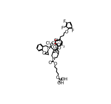 CC(C)(OC(=O)N1C2CC(c3ccc(CCCOc4c(F)ccc(F)c4F)cc3)=C(C(=O)N(Cc3ccccc3Cl)C3CC3)C1CN(C(=O)OCCCCON(O)O)C2)C(Cl)(Cl)Cl